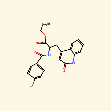 CCOC(=O)COC(=O)C(Cc1cc(=O)[nH]c2ccccc12)NC(=O)c1ccc(Cl)cc1